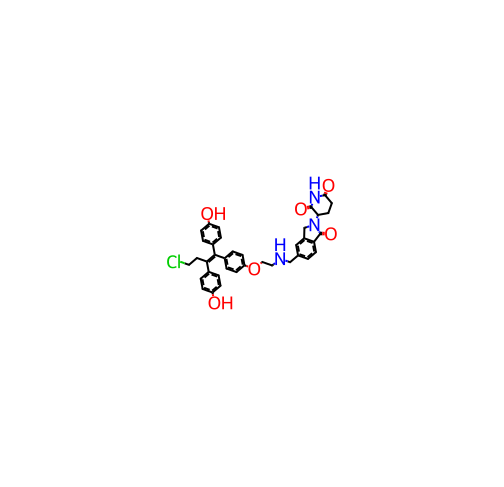 O=C1CCC(N2Cc3cc(CNCCOc4ccc(C(=C(CCCl)c5ccc(O)cc5)c5ccc(O)cc5)cc4)ccc3C2=O)C(=O)N1